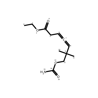 CCOC(=O)CC=C=CC(C)(C)COC(N)=O